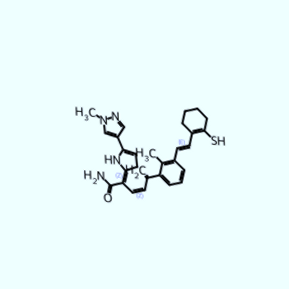 C=C(/C=C\C(C(N)=O)=C1/CC=C(c2cnn(C)c2)N1)c1cccc(/C=C/C2=C(S)CCCC2)c1C